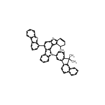 CC1CC=Cc2sc3cc(-c4cccc5c4sc4ccccc45)c4c5ccccc5n(-c5ccc6c(c5)-c5ccc7ccccc7c5C6(C)C)c4c3c21